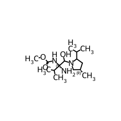 COC(=O)N[C@@](N)(C(C)C)C(O)N1C[C@H](C)CC1C(C)C